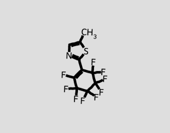 Cc1cnc(C2=C(F)C(F)(F)C(F)(F)C(F)(F)C2(F)F)s1